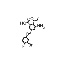 CCC(=O)c1c(N)cc(COc2ccc(F)c(Br)c2)cc1C(=O)O